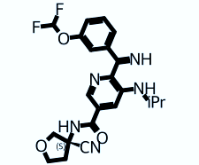 CC(C)Nc1cc(C(=O)N[C@]2(C#N)CCOC2)cnc1C(=N)c1cccc(OC(F)F)c1